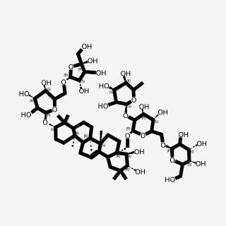 CC1O[C@@H](OC2[C@H](OC[C@@]34CC[C@]5(C)C(=CCC6[C@@]7(C)CC[C@H](O[C@@H]8OC(CO[C@@H]9O[C@](O)(CO)C(O)[C@@H]9O)[C@@H](O)[C@@H](O)C8O)C(C)(C)C7CC[C@]65C)C3CC(C)(C)[C@@H](O)[C@@H]4O)OC(CO[C@@H]3OC(CO)[C@@H](O)[C@@H](O)C3O)[C@@H](O)[C@H]2O)C(O)[C@@H](O)[C@H]1O